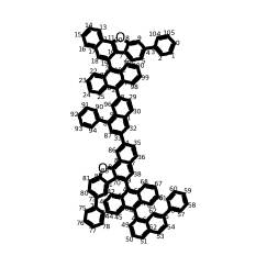 c1ccc(-c2ccc3c(c2)oc2c4ccccc4cc(-c4c5ccccc5c(-c5ccc6cc(-c7ccc8cc(-c9c%10ccccc%10c(-c%10cccc%11ccc(-c%12ccccc%12)cc%10%11)c%10ccccc9%10)c9c%10cc(-c%11ccccc%11)ccc%10oc9c8c7)cc(-c7ccccc7)c6c5)c5ccccc45)c32)cc1